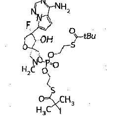 C=NC[C@]1(COP(=O)(OCCSC(=O)C(C)(C)C)OCCSC(=O)C(C)(C)I)OC[C@@](F)(c2ccc3c(N)ncnn23)[C@@H]1O